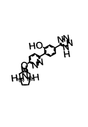 Oc1cc(-c2nnn[nH]2)ccc1-c1ccc(O[C@@H]2C[C@H]3CC[C@@H](C2)N3)nn1